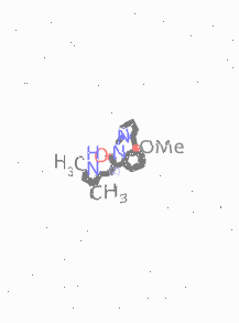 COCC1CCCN1CN1C(=O)/C(=C\c2[nH]c(C)cc2C)c2ccccc21